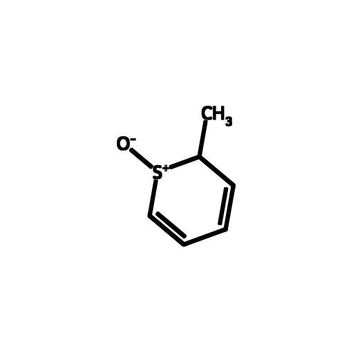 CC1C=CC=C[S+]1[O-]